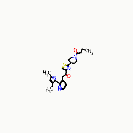 CCCC(=O)N1CCC(c2nc(C(=O)Cc3cccnc3C3N=C(C)C=C3C)cs2)CC1